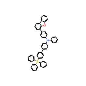 C1=CC(N(c2ccccc2)c2ccc(-c3cccc4c3oc3ccccc34)cc2)CC=C1c1ccc(S(c2ccccc2)(c2ccccc2)c2ccccc2)cc1